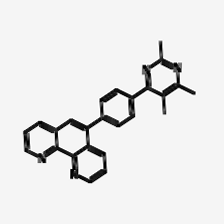 Cc1nc(C)c(C)c(-c2ccc(-c3cc4cccnc4c4ncccc34)cc2)n1